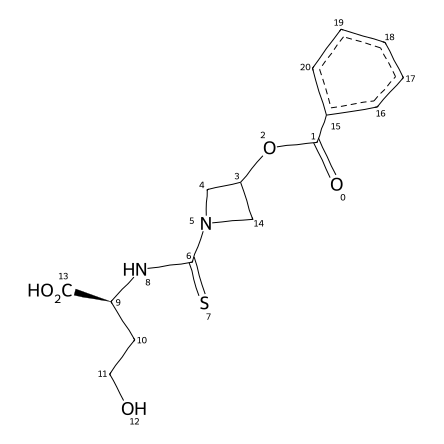 O=C(OC1CN(C(=S)N[C@@H](CCO)C(=O)O)C1)c1ccccc1